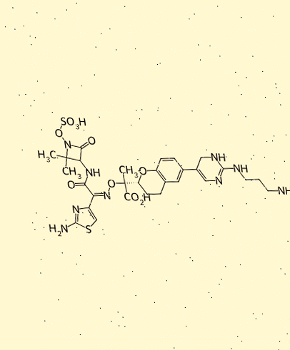 CC(O/N=C(\C(=O)NC1C(=O)N(OS(=O)(=O)O)C1(C)C)c1csc(N)n1)(C(=O)O)[C@H]1CCc2cc(C3=CN=C(NCCCN)NC3)ccc2O1